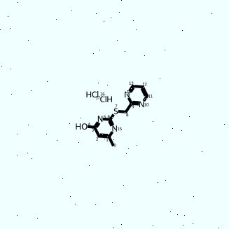 Cc1cc(O)nc(SCc2ncccn2)n1.Cl.Cl